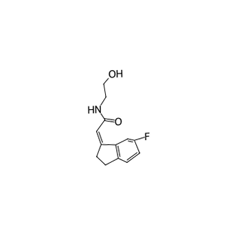 O=C(/C=C1/CCc2ccc(F)cc21)NCCO